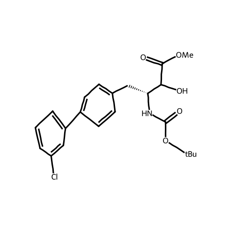 COC(=O)C(O)[C@@H](Cc1ccc(-c2cccc(Cl)c2)cc1)NC(=O)OC(C)(C)C